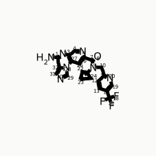 Nc1nc2cnc(C(=O)N(Cc3ccc(C(F)(F)F)cn3)C34CC(C3)C4)cc2n2cncc12